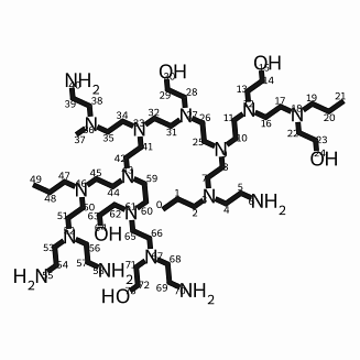 CCCN(CCN)CCN(CCN(CCO)CCN(CCC)CCO)CCN(CCO)CCN(CCN(C)CCN)CCN(CCN(CCC)CCN(CCN)CCN)CCN(CCO)CCN(CCN)CCO